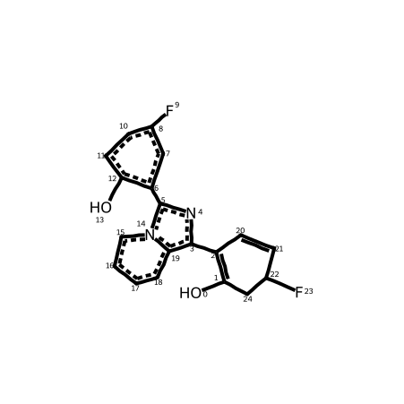 OC1=C(c2nc(-c3cc(F)ccc3O)n3ccccc23)C=CC(F)C1